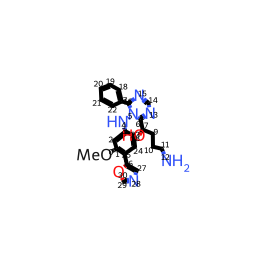 COc1cc(NN2C(C(O)CCCN)=NC=NC2c2ccccc2)ccc1-c1cnco1